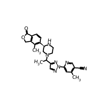 Cc1cc(-n2ncc(C(C)N3CCN[C@H](c4ccc5c(c4C)COC5=O)C3)n2)ncc1C#N